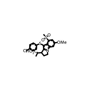 COc1cc(S(C)(=O)=O)c2c(Sc3ccc(Cl)cc3)c3n(c2c1)CCC3C(C)C(=O)O